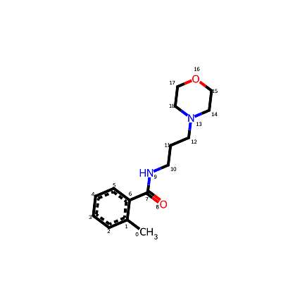 Cc1ccccc1C(=O)NCCCN1CCOCC1